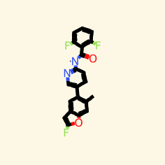 Cc1cc2oc(F)cc2cc1-c1ccc([N]C(=O)c2c(F)cccc2F)nc1